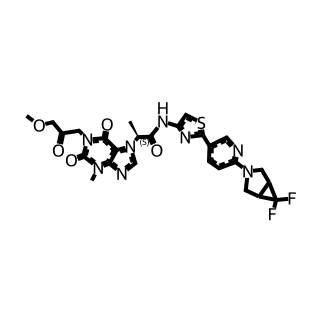 COCC(=O)Cn1c(=O)c2c(ncn2[C@@H](C)C(=O)Nc2csc(-c3ccc(N4CC5C(C4)C5(F)F)nc3)n2)n(C)c1=O